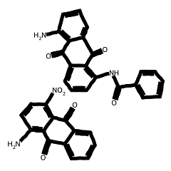 Nc1ccc([N+](=O)[O-])c2c1C(=O)c1ccccc1C2=O.Nc1cccc2c1C(=O)c1cccc(NC(=O)c3ccccc3)c1C2=O